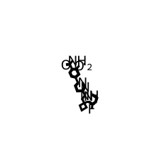 COc1cc(-c2ccc(NCC3(c4ncccc4F)CCC3)nn2)ccc1C(N)=O